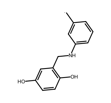 [CH2]c1cccc(NCc2cc(O)ccc2O)c1